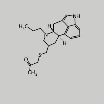 CCCN1CC(CSCC(C)=O)C[C@@H]2c3cccc4[nH]cc(c34)C[C@H]21